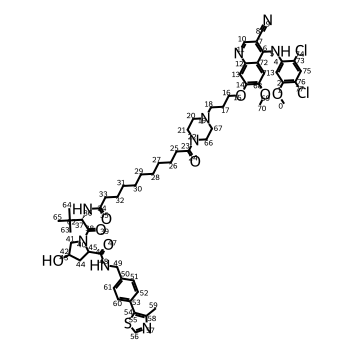 COc1cc(Nc2c(C#N)cnc3cc(OCCCN4CCN(C(=O)CCCCCCCCCC(=O)N[C@H](C(=O)N5CC(O)CC5C(=O)NCc5ccc(-c6scnc6C)cc5)C(C)(C)C)CC4)c(OC)cc23)c(Cl)cc1Cl